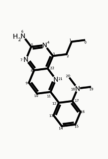 CCCc1nc(N)nc2ccc(-c3ccccc3N(C)C)nc12